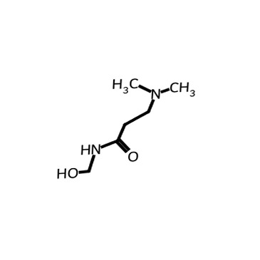 CN(C)CCC(=O)NCO